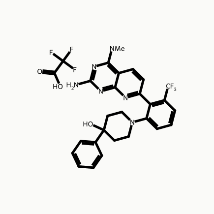 CNc1nc(N)nc2nc(-c3c(N4CCC(O)(c5ccccc5)CC4)cccc3C(F)(F)F)ccc12.O=C(O)C(F)(F)F